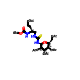 CCCCCCCCCCCC[C@H](CNC(=S)N[C@@H]1O[C@H](COC(C)=O)[C@@H](OC(C)=O)[C@H](OC(C)=O)[C@H]1OC(C)=O)NC(=O)OC(C)(C)C